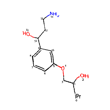 CC(C)C(O)COc1cccc(C(O)CCN)c1